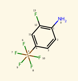 Nc1ccc(S(F)(F)(F)(F)F)cc1F